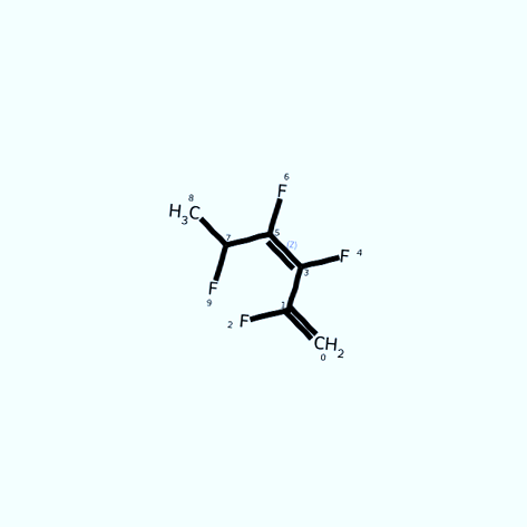 C=C(F)/C(F)=C(/F)C(C)F